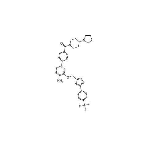 Nc1ncc(-c2ccc(C(=O)N3CCC(N4CCCC4)CC3)cc2)cc1OCc1csc(-c2ccc(C(F)(F)F)cc2)n1